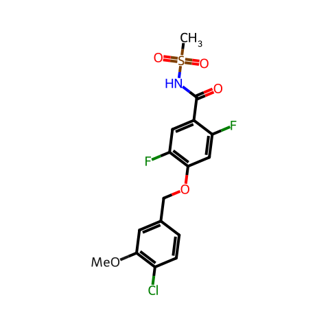 COc1cc(COc2cc(F)c(C(=O)NS(C)(=O)=O)cc2F)ccc1Cl